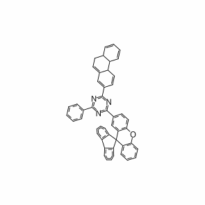 C1=CC2CC=C3C=C(c4nc(-c5ccccc5)nc(-c5ccc6c(c5)C5(c7ccccc7O6)c6ccccc6-c6ccccc65)n4)C=CC3C2C=C1